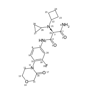 NC(=O)[C@@H](C(=O)Nc1ccc(N2CCOCC2=O)c(F)c1)N(C1CCC1)C1CC1